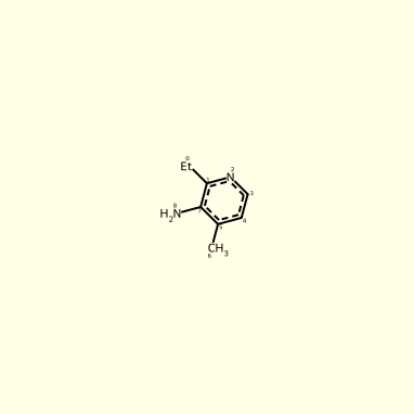 CCc1nccc(C)c1N